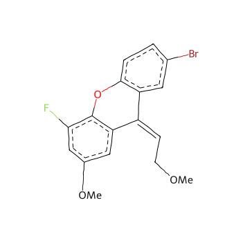 COCC=C1c2cc(Br)ccc2Oc2c(F)cc(OC)cc21